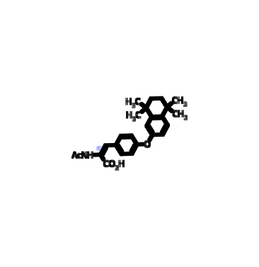 CC(=O)N/C(=C/c1ccc(Oc2ccc3c(c2)C(C)(C)CCC3(C)C)cc1)C(=O)O